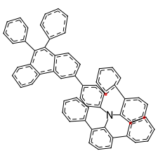 c1ccc(-c2ccccc2N(c2ccc(-c3ccc4c(-c5ccccc5)c(-c5ccccc5)c5ccccc5c4c3)cc2)c2c(-c3ccccc3)cccc2-c2ccccc2)cc1